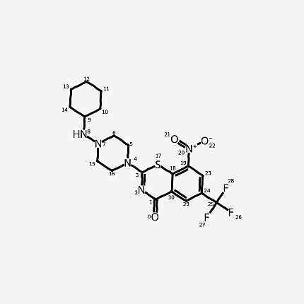 O=c1nc(N2CCN(NC3CCCCC3)CC2)sc2c([N+](=O)[O-])cc(C(F)(F)F)cc12